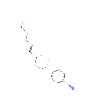 CCCC/C=C/[C@H]1CC[C@H](c2ccc(C#N)cc2)CC1